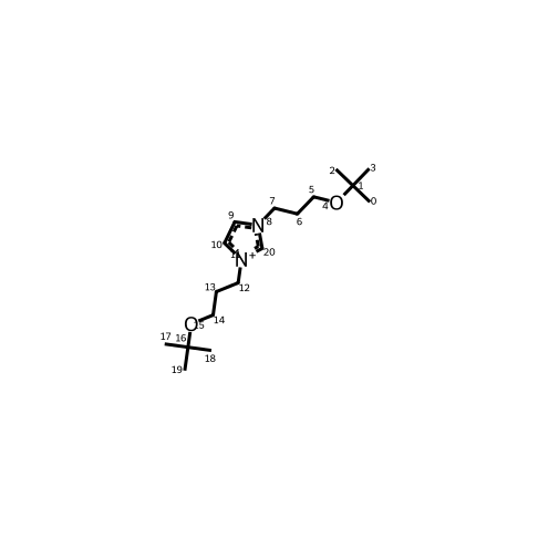 CC(C)(C)OCCCn1cc[n+](CCCOC(C)(C)C)c1